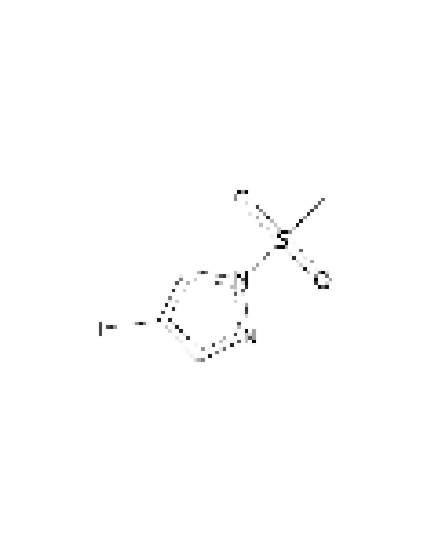 CS(=O)(=O)n1cc(I)cn1